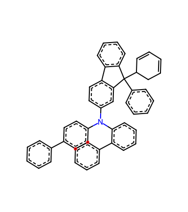 C1=CCC(C2(c3ccccc3)c3ccccc3-c3ccc(N(c4ccc(-c5ccccc5)cc4)c4ccccc4-c4ccccc4)cc32)C=C1